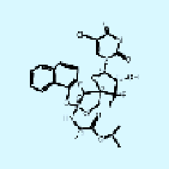 CC(C)OC(=O)[C@H](C)NP(=O)(OC[C@@]1(C(F)F)O[C@@H](n2cc(Cl)c(=O)[nH]c2=O)[C@H](O)C1(F)F)Oc1cccc2ccccc12